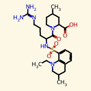 CCN1CC(C)Cc2cccc(S(=O)(=O)NC(CCCN=C(N)N)C(=O)N3CCC(C)CC3C(=O)O)c21